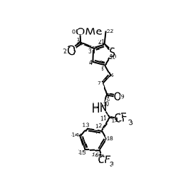 COC(=O)c1cc(C=CC(=O)NC(c2cccc(C(F)(F)F)c2)C(F)(F)F)sc1C